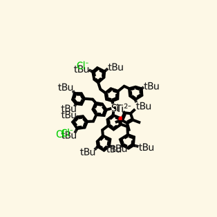 CC1=C(C)C(C)[C]([Ti-2][Si](c2cc(Cc3cc(C(C)(C)C)cc(C(C)(C)C)c3)cc(Cc3cc(C(C)(C)C)cc(C(C)(C)C)c3)c2)(c2cc(Cc3cc(C(C)(C)C)cc(C(C)(C)C)c3)cc(Cc3cc(C(C)(C)C)cc(C(C)(C)C)c3)c2)c2cc(Cc3cc(C(C)(C)C)cc(C(C)(C)C)c3)cc(Cc3cc(C(C)(C)C)cc(C(C)(C)C)c3)c2)=C1C.[Cl-].[Cl-].[Cl-]